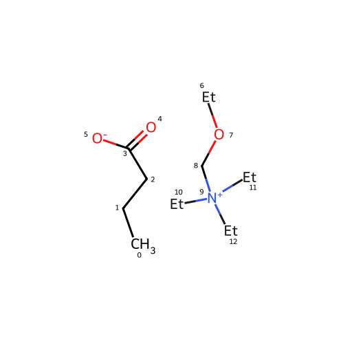 CCCC(=O)[O-].CCOC[N+](CC)(CC)CC